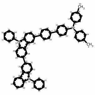 Cc1ccc(N(c2ccc(C)cc2)c2ccc(-c3ccc(-c4ccc5c(c4)c4cc(-c6ccc7c(c6)c6ccccc6n7-c6ccccc6)ccc4n5-c4ccccc4)cc3)cc2)cc1